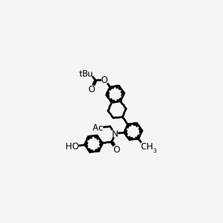 CC(=O)CN(C(=O)c1ccc(O)cc1)c1cc(C)ccc1C1CCc2cc(OC(=O)C(C)(C)C)ccc2C1